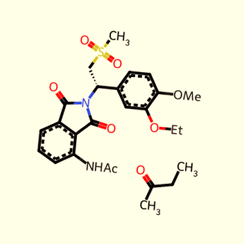 CCC(C)=O.CCOc1cc([C@@H](CS(C)(=O)=O)N2C(=O)c3cccc(NC(C)=O)c3C2=O)ccc1OC